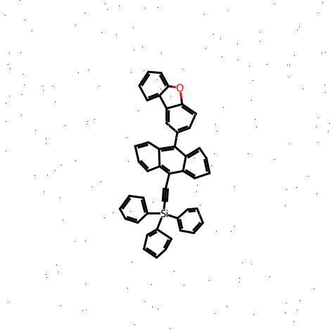 C(#C[Si](c1ccccc1)(c1ccccc1)c1ccccc1)c1c2ccccc2c(-c2ccc3oc4ccccc4c3c2)c2ccccc12